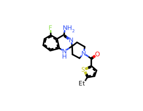 CCc1ccc(C(=O)N2CCC3(CC2)N=C(N)c2c(F)cccc2N3)s1